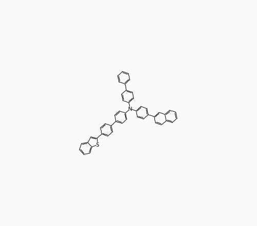 c1ccc(-c2ccc(N(c3ccc(-c4ccc(-c5cc6ccccc6s5)cc4)cc3)c3ccc(-c4ccc5ccccc5c4)cc3)cc2)cc1